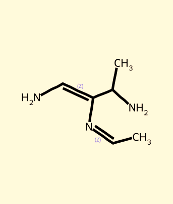 C/C=N\C(=C/N)C(C)N